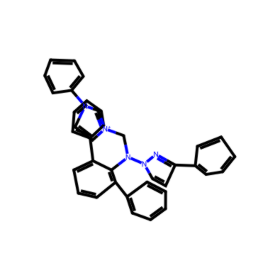 c1ccc(-c2ccn(N(C[n+]3ccn(-c4ccccc4)c3)c3c(-c4ccccc4)cccc3-c3ccccc3)n2)cc1